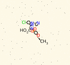 CC#CCOc1ccc(S(=O)(=O)NC(Cc2cn(Cc3cccnc3)c3ccc(Cl)cc23)C(=O)O)cc1